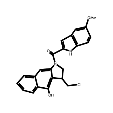 COc1ccc2[nH]c(C(=O)N3CC(CCl)c4c3cc3ccccc3c4O)cc2c1